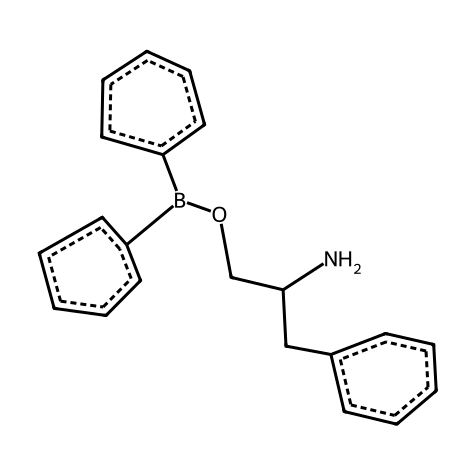 NC(COB(c1ccccc1)c1ccccc1)Cc1ccccc1